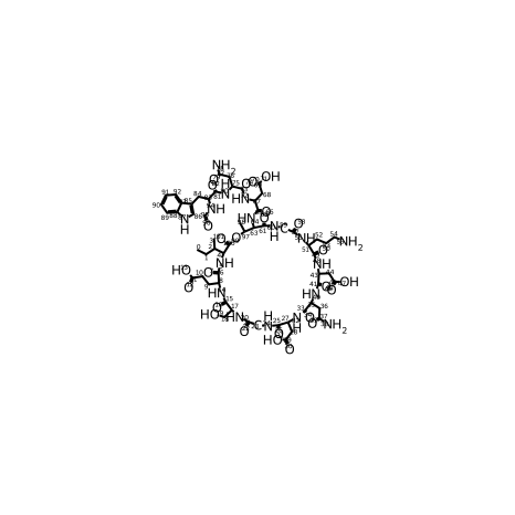 CCC(C)C1NC(=O)C(CCC(=O)O)NC(=O)C(CO)NC(=O)CNC(=O)C(CC(=O)O)NC(=O)C(CC(N)=O)NC(=O)C(CC(=O)O)NC(=O)C(CCCN)NC(=O)CNC(=O)C(NC(=O)C(CC(=O)O)NC(=O)C(CC(N)=O)NC(=O)C(Cc2c[nH]c3ccccc23)NC=O)C(C)OC1=O